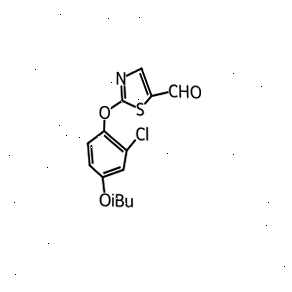 CC(C)COc1ccc(Oc2ncc(C=O)s2)c(Cl)c1